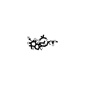 COC(=O)N[C@@]1(C)CCC(C)(C)CCC[C@](C)([C@]2(C)CC[C@H]3C(C)(C)C(=O)[C@]4(C#N)O[C@@H]4[C@]3(C)/C2=C/C(C)=O)CC1